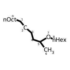 CCCCCCCCCCCCC(C)OCCCCCC